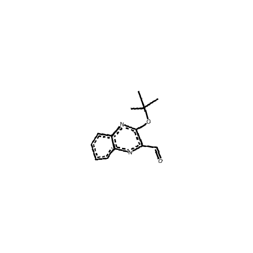 CC(C)(C)Oc1nc2ccccc2nc1C=O